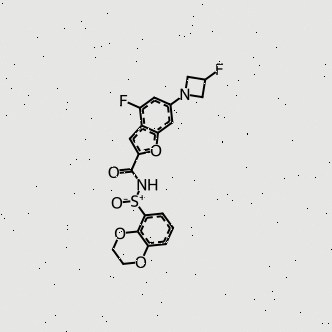 O=C(N[S+]([O-])c1cccc2c1OCCO2)c1cc2c(F)cc(N3CC(F)C3)cc2o1